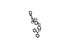 O=C(NCCCN1CCCC1)c1ccc(OC2CCN(CC(c3ccccc3)c3ccccc3)CC2)cc1